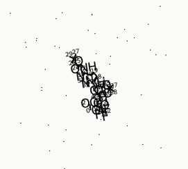 CC(=O)OC[C@@]1(COS(=O)(=O)C(F)(F)F)O[C@@H](c2ccc3c(NC(=O)OC(C)(C)C)ncnn23)[C@@H]2OC(C)(C)O[C@@H]21